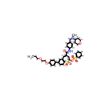 CCCOCCOc1ccc(-c2ccc3c(c2)C=C(C(=O)Nc2ccc(CN(C)C4CCOCC4)cc2)CC(OS(=O)(=O)c2ccccc2)S3(=O)=O)cc1